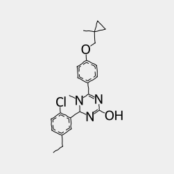 CCc1ccc(Cl)c(C2N=C(O)N=C(c3ccc(OCC4(C)CC4)cc3)N2C)c1